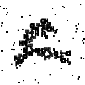 C=C(CCl)COc1ccc(CNc2cc(Nc3ccc(C(=O)NCC(C)(C)CC)cn3)nc(OCC(F)(F)F)n2)cc1